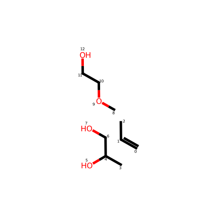 C=CC.CC(O)CO.COCCO